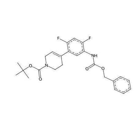 CC(C)(C)OC(=O)N1CC=C(c2cc(NC(=O)OCc3ccccc3)c(F)cc2F)CC1